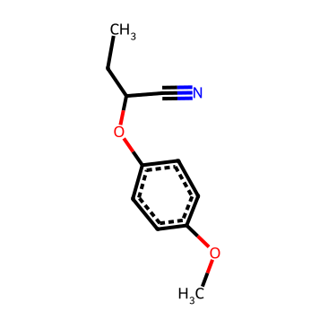 CCC(C#N)Oc1ccc(OC)cc1